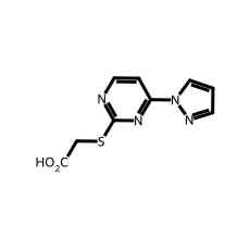 O=C(O)CSc1nccc(-n2cccn2)n1